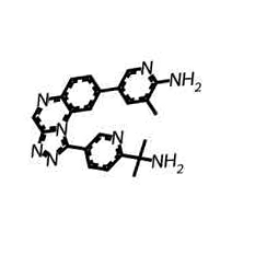 Cc1cc(-c2ccc3ncc4nnc(-c5ccc(C(C)(C)N)nc5)n4c3c2)cnc1N